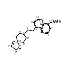 COc1cccc2c(CCC3CCC4(CC3)OCCO4)ccnc12